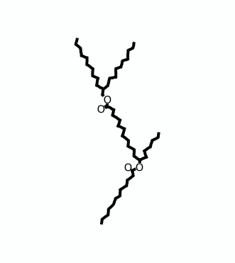 CCCCCCCCCCCC(=O)OC(CCCCCC)CCCCCCCCCCC(=O)OCC(CCCCCCCCCC)CCCCCCCCCC